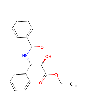 CCOC(=O)[C@H](O)[C@@H](NC(=O)c1ccccc1)c1ccccc1